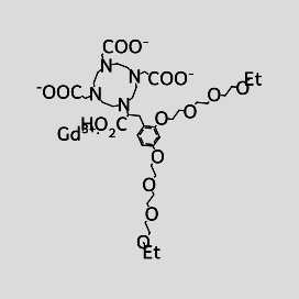 CCOCCOCCOCCOc1ccc(C[C@@H](C(=O)O)N2CCN(CC(=O)[O-])CCN(CC(=O)[O-])CCN(CC(=O)[O-])CC2)c(OCCOCCOCCOCC)c1.[Gd+3]